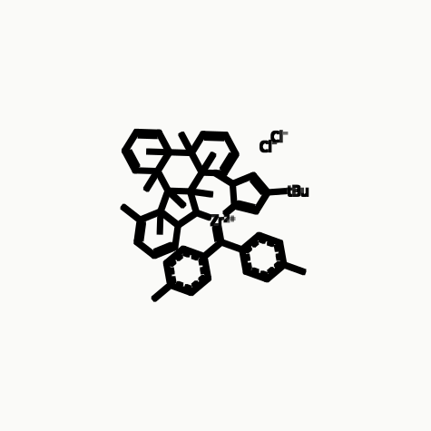 CC1=CC=CC2[CH]([Zr+2]([C]3=CC(C(C)(C)C)=CC3C)=[C](c3ccc(C)cc3)c3ccc(C)cc3)C3(C)C4(C)C=CC=CC4(C)C4(C)C=CC=CC4(C)C3(C)C12C.[Cl-].[Cl-]